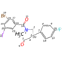 CN(C[C@@H](CC=O)c1ccc(F)cc1)C(=O)c1cc(Br)cc(I)c1